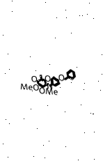 COc1c2nc3ccc(OCc4ccccc4)cc3oc-2c(C)c(=O)c1OC